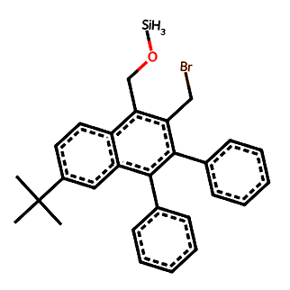 CC(C)(C)c1ccc2c(CO[SiH3])c(CBr)c(-c3ccccc3)c(-c3ccccc3)c2c1